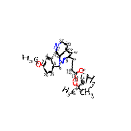 COc1ccc(Cn2c(CCC(=O)OC(C)(C)C)cc3ccncc32)cc1